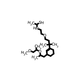 COCC(C)OC(C)CC1C=C(C(C)(C)CCOCCNC(C)S)CCC1